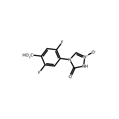 O=C(O)c1cc(F)c(-n2c[n+]([O-])[nH]c2=O)cc1F